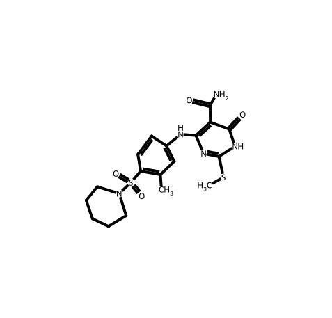 CSc1nc(Nc2ccc(S(=O)(=O)N3CCCCC3)c(C)c2)c(C(N)=O)c(=O)[nH]1